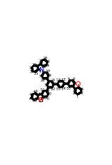 c1ccc2c(c1)oc1ccc(-c3ccc(-c4cc(-c5ccc(-n6c7ccccc7c7ccccc76)cc5)cc(-c5ccc6oc7ccccc7c6c5)c4)cc3)cc12